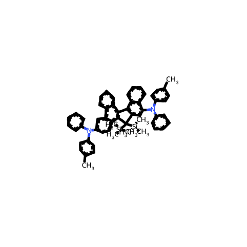 Cc1ccc(N(c2ccccc2)c2ccc3c4c(c5ccccc5c3c2)-c2c(cc(N(c3ccccc3)c3ccc(C)cc3)c3ccccc23)C4([Si](C)(C)C)[Si](C)(C)C)cc1